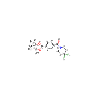 CC(C)C1(C)OB(c2ccc(C(=O)N3CCC(F)(F)CC3)cc2)OC1(C)C